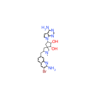 CN1CC2(CC1Cc1ccc3cc(Br)c(N)nc3c1)CC(n1ccc3c(N)ncnc31)C(O)C2O